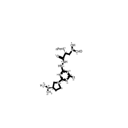 CCCCC[C@H](CN(O)C=O)C(=O)NNc1nc(CC)nc(N2CC[C@@H](N(C)C)C2)n1